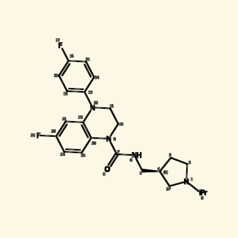 CC(C)N1CC[C@H](CNC(=O)N2CCN(c3ccc(F)cc3)c3cc(F)ccc32)C1